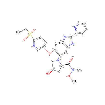 CCS(=O)(=O)c1ccc(Oc2cc3nc(-c4ccccn4)[nH]c3cc2N2C[C@H](O)C[C@@H]2C(=O)N(C)OC)cn1